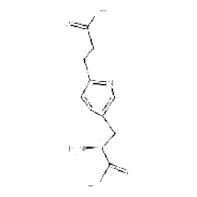 N[C@@H](Cc1ccc(CCC(=O)O)nc1)C(=O)O